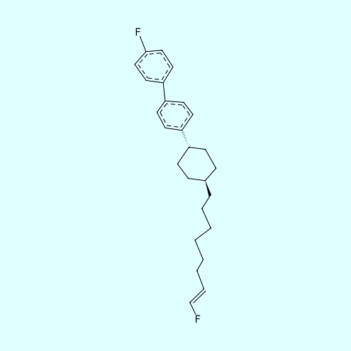 FC=CCCCCCC[C@H]1CC[C@H](c2ccc(-c3ccc(F)cc3)cc2)CC1